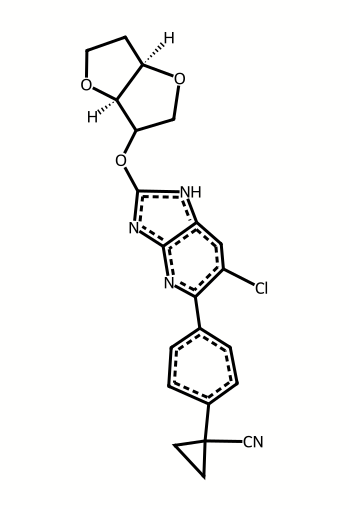 N#CC1(c2ccc(-c3nc4nc(OC5CO[C@@H]6CCO[C@H]56)[nH]c4cc3Cl)cc2)CC1